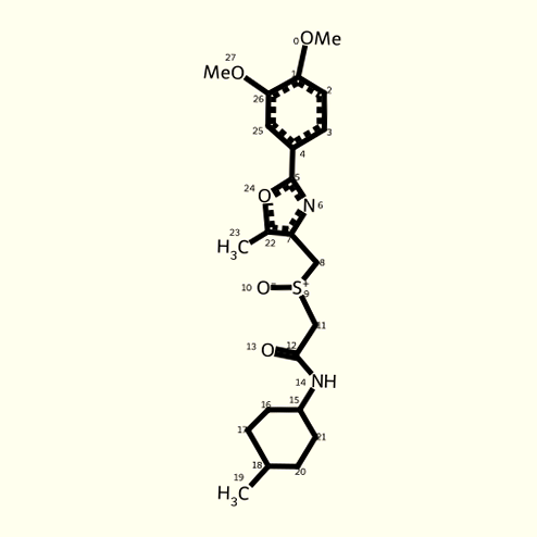 COc1ccc(-c2nc(C[S+]([O-])CC(=O)NC3CCC(C)CC3)c(C)o2)cc1OC